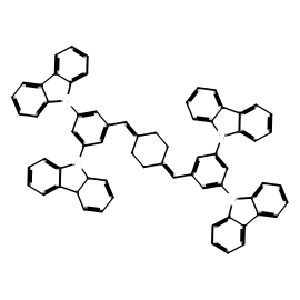 C1=CC2c3ccccc3N(c3cc(C=C4CCC(=Cc5cc(-n6c7ccccc7c7ccccc76)cc(-n6c7ccccc7c7ccccc76)c5)CC4)cc(-n4c5ccccc5c5ccccc54)c3)C2C=C1